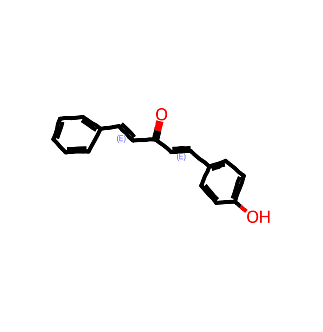 O=C(/C=C/c1ccccc1)/C=C/c1ccc(O)cc1